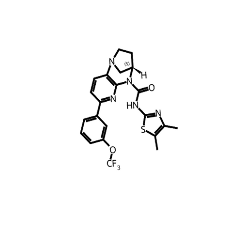 Cc1nc(NC(=O)N2c3nc(-c4cccc(OC(F)(F)F)c4)ccc3N3CC[C@H]2C3)sc1C